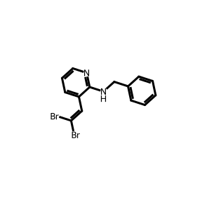 BrC(Br)=Cc1cccnc1NCc1ccccc1